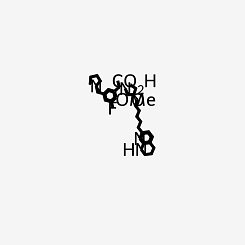 COc1c(F)cc(CN2CCCC2)cc1C(C(=O)O)N1CC[C@@H](OCCCCCc2ccc3c(n2)NCCC3)C1